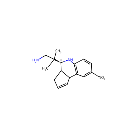 CC(C)(CN)[C@H]1Nc2ccc([N+](=O)[O-])cc2C2C=CCC21